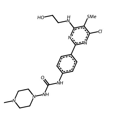 CSc1c(Cl)nc(-c2ccc(NC(=O)NN3CCN(C)CC3)cc2)nc1NCCO